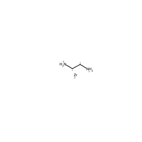 NCCN.[Zr]